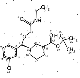 CCNC(=O)COC(c1cccc(Cl)c1)[C@@H]1CCCN(C(=O)OC(C)(C)C)C1